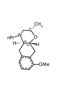 CCCN1C[C@H](C)O[C@@H]2Cc3c(cccc3OC)C[C@H]21